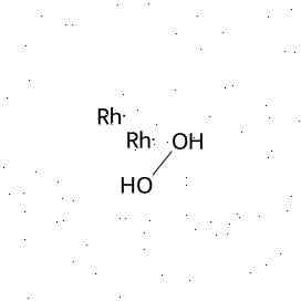 OO.[Rh].[Rh]